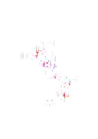 COCCOCCOC(=O)NCCCCC(NC(=O)OCCOCCOO)C(=O)NCC(=O)NC1C(O)CC(OC=O)(OC(C)C)OC1C(O)C(O)CO